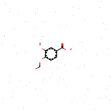 COC(=O)c1ccc(OCBr)c(OC)c1